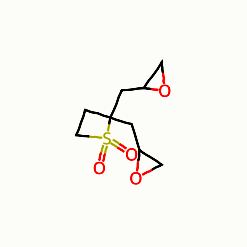 O=S1(=O)CCC1(CC1CO1)CC1CO1